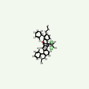 CCCc1ccc2c(c1-c1ccccc1C)C=C(C)[CH]2[Zr]([Cl])([Cl])([CH]1C(C)=Cc2c1ccc(CCC)c2-c1ccccc1C)[SiH](C)C